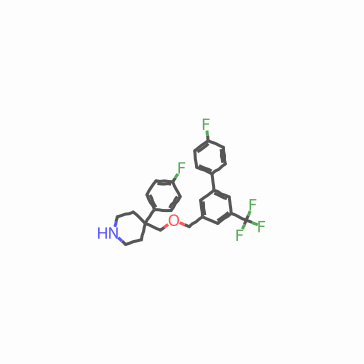 Fc1ccc(-c2cc(COCC3(c4ccc(F)cc4)CCNCC3)cc(C(F)(F)F)c2)cc1